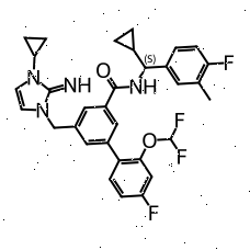 Cc1cc([C@@H](NC(=O)c2cc(Cn3ccn(C4CC4)c3=N)cc(-c3ccc(F)cc3OC(F)F)c2)C2CC2)ccc1F